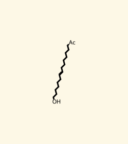 CC(=O)CCCCCCC/C=C/CCCCCCO